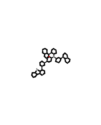 c1cc(-c2ccc(N(c3cccc(-c4cccc5ccccc45)c3)c3ccccc3-c3cccc4ccccc34)cc2)cc(-c2cccc3c2sc2ccccc23)c1